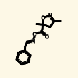 CC1=NOC(C)(C(=O)O/N=C/c2ccccc2)C1